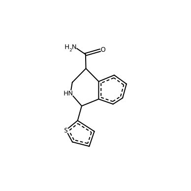 NC(=O)C1CNC(c2cccs2)c2ccccc21